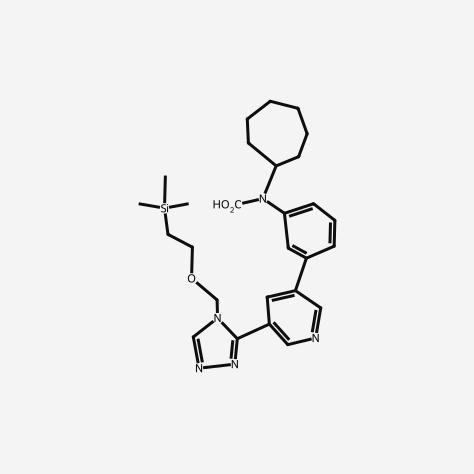 C[Si](C)(C)CCOCn1cnnc1-c1cncc(-c2cccc(N(C(=O)O)C3CCCCCC3)c2)c1